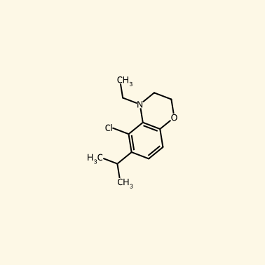 CCN1CCOc2ccc(C(C)C)c(Cl)c21